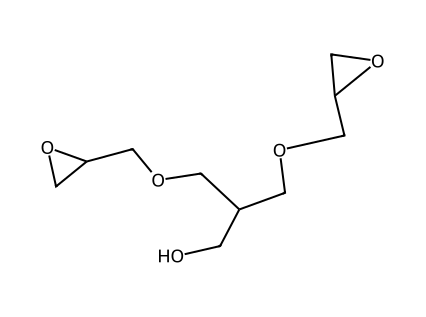 OCC(COCC1CO1)COCC1CO1